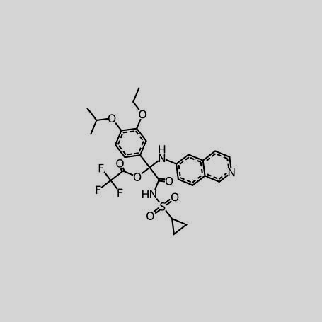 CCOc1cc(C(Nc2ccc3cnccc3c2)(OC(=O)C(F)(F)F)C(=O)NS(=O)(=O)C2CC2)ccc1OC(C)C